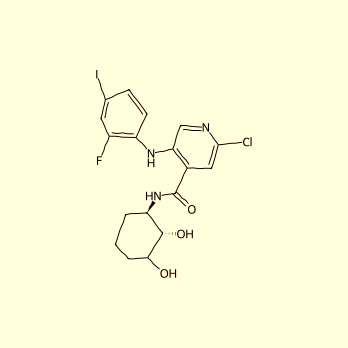 O=C(N[C@@H]1CCCC(O)[C@H]1O)c1cc(Cl)ncc1Nc1ccc(I)cc1F